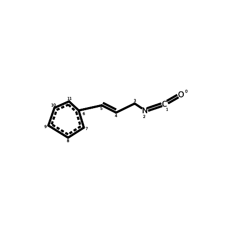 O=C=NC/C=C/c1ccccc1